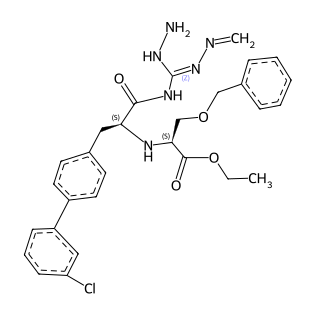 C=N/N=C(\NN)NC(=O)[C@H](Cc1ccc(-c2cccc(Cl)c2)cc1)N[C@@H](COCc1ccccc1)C(=O)OCC